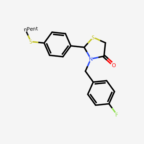 CCCCCSc1ccc(C2SCC(=O)N2Cc2ccc(F)cc2)cc1